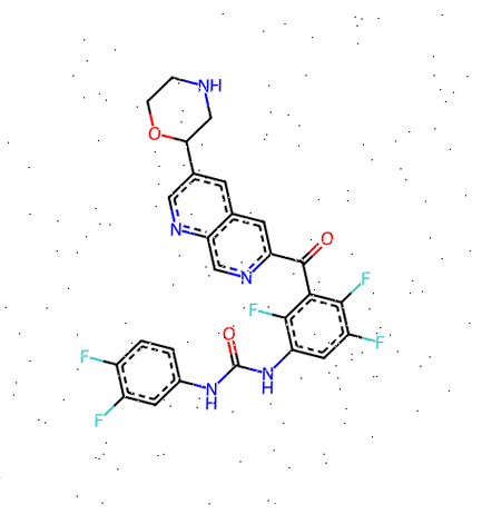 O=C(Nc1ccc(F)c(F)c1)Nc1cc(F)c(F)c(C(=O)c2cc3cc(C4CNCCO4)cnc3cn2)c1F